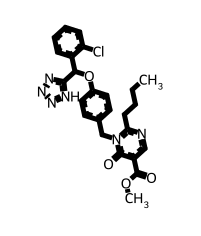 CCCCc1ncc(C(=O)OC)c(=O)n1Cc1ccc(OC(c2nnn[nH]2)c2ccccc2Cl)cc1